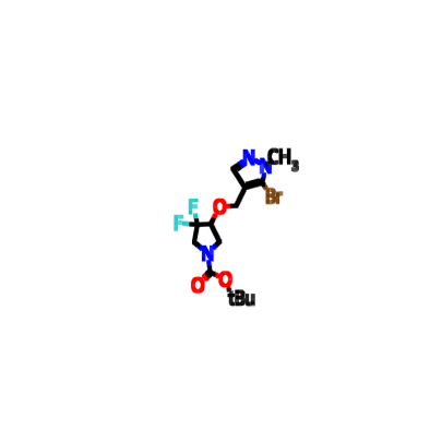 Cn1ncc(COC2CN(C(=O)OC(C)(C)C)CC2(F)F)c1Br